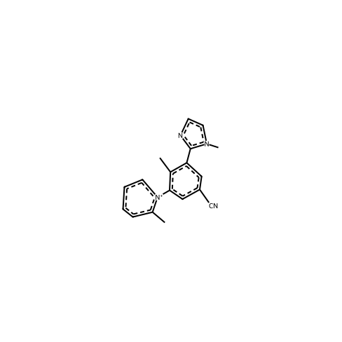 Cc1c(-c2nccn2C)cc(C#N)cc1-[n+]1ccccc1C